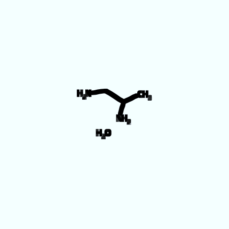 CC(N)CN.O